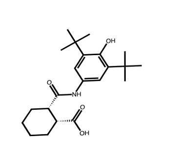 CC(C)(C)c1cc(NC(=O)[C@H]2CCCC[C@H]2C(=O)O)cc(C(C)(C)C)c1O